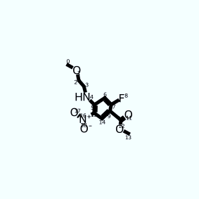 COCCNc1cc(F)c(C(=O)OC)cc1[N+](=O)[O-]